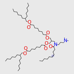 CCCCC/C=C\CCC(=O)N(CCCN(C)C)CC(COC(=O)CCCCCCC(=O)OCC(CCCCCC)CCCCCC)COC(=O)CCCCCCC(=O)OCC(CCCCCC)CCCCCC